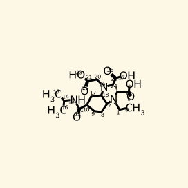 CCN(CC(=O)O)C1CCC(C(=O)NC(C)C)CC1N(CC(=O)O)CC(=O)O